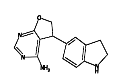 Nc1ncnc2c1C(c1ccc3c(c1)CCN3)CO2